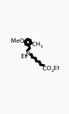 CCOC(=O)CCCCCCCN(CC)CCc1cc(OC)ccc1C